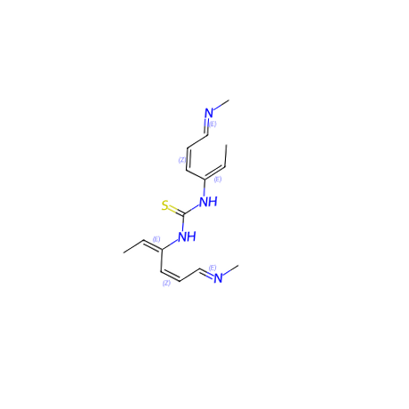 C\C=C(/C=C\C=N\C)NC(=S)NC(/C=C\C=N\C)=C/C